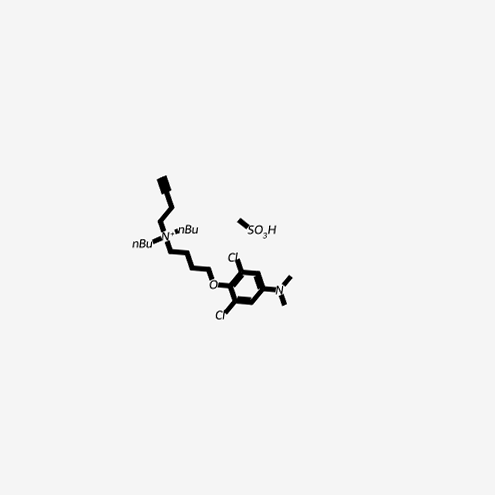 C#CCC[N+](CCCC)(CCCC)CCCCOc1c(Cl)cc(N(C)C)cc1Cl.CS(=O)(=O)O